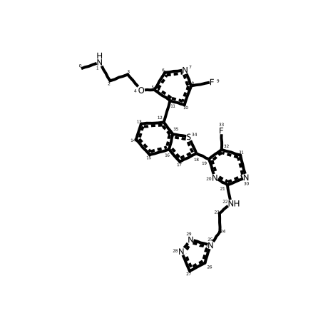 CNCCOc1cnc(F)cc1-c1cccc2cc(-c3nc(NCCn4ccnn4)ncc3F)sc12